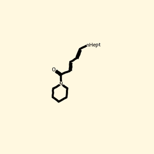 CCCCCCCC=CC=CC(=O)N1CCCCC1